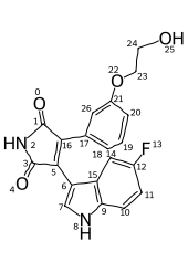 O=C1NC(=O)C(c2c[nH]c3ccc(F)cc23)=C1c1cccc(OCCO)c1